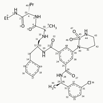 CCNC(=O)[C@@H](NC(=O)[C@H](C)NC[C@H](Cc1ccccc1)NC(=O)c1cc(C(=O)N[C@H](C)c2cccc(Cl)c2)cc(N2CCCNS2(=O)=O)c1)C(C)C